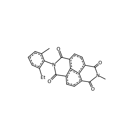 CCc1cccc(C)c1N1C(=O)c2ccc3c4c(ccc(c24)C1=O)C(=O)N(C)C3=O